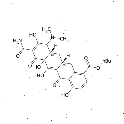 CCCCOC(=O)c1ccc(O)c2c1C[C@H]1C[C@H]3C(N(C)C)C(O)=C(C(N)=O)C(=O)C3(O)C(O)=C1C2=O